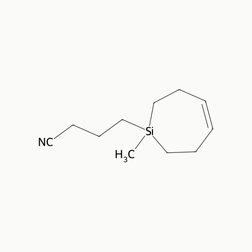 C[Si]1(CCCC#N)CCC=CCC1